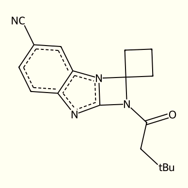 CC(C)(C)CC(=O)N1c2nc3ccc(C#N)cc3n2C12CCC2